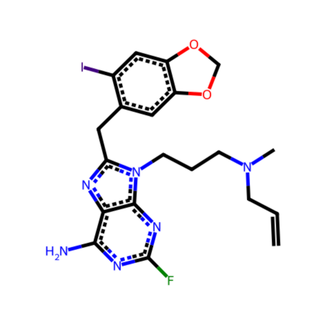 C=CCN(C)CCCn1c(Cc2cc3c(cc2I)OCO3)nc2c(N)nc(F)nc21